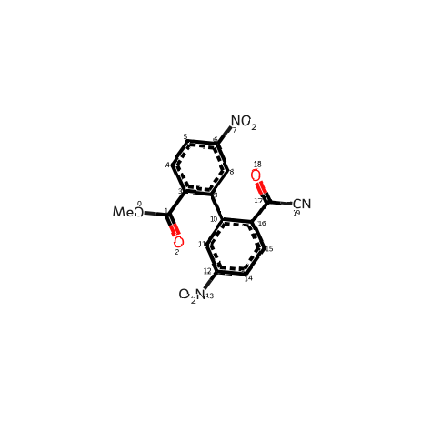 COC(=O)c1ccc([N+](=O)[O-])cc1-c1cc([N+](=O)[O-])ccc1C(=O)C#N